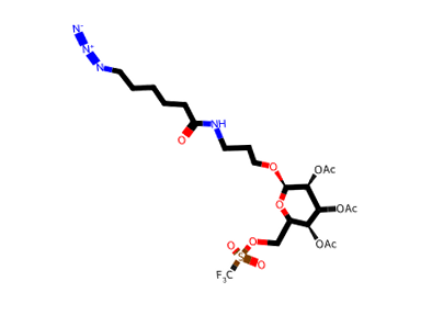 CC(=O)OC1[C@@H](OC(C)=O)C(COS(=O)(=O)C(F)(F)F)O[C@@H](OCCCNC(=O)CCCCCN=[N+]=[N-])[C@H]1OC(C)=O